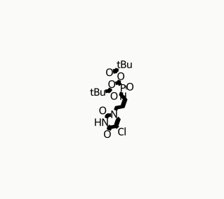 CC(C)(C)C(=O)OC(OC(=O)C(C)(C)C)[PH](=O)C/C=C\Cn1cc(Cl)c(=O)[nH]c1=O